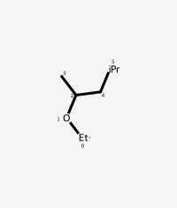 C[CH]OC(C)CC(C)C